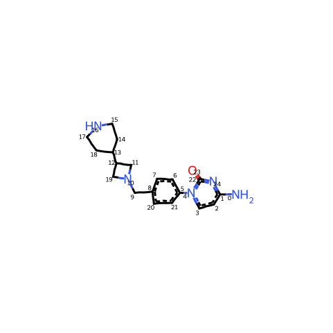 Nc1ccn(-c2ccc(CN3CC(C4CCNCC4)C3)cc2)c(=O)n1